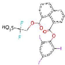 O=C(OCC(F)(F)S(=O)(=O)O)c1cccc2cccc(C(=O)Oc3c(I)cc(I)cc3I)c12